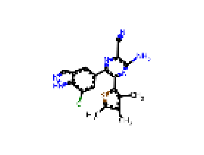 Cc1sc(-c2nc(N)c(C#N)nc2-c2cc(Cl)c3[nH]ncc3c2)c(C)c1C